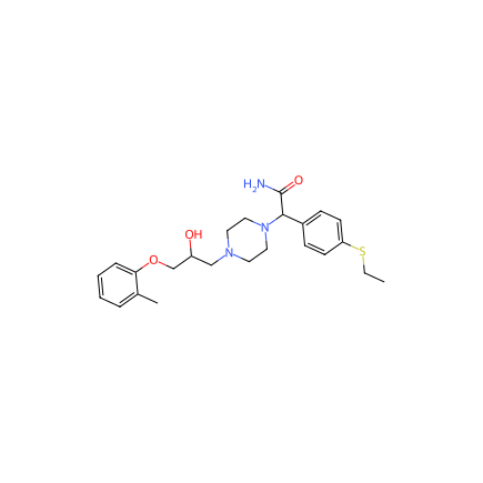 CCSc1ccc(C(C(N)=O)N2CCN(CC(O)COc3ccccc3C)CC2)cc1